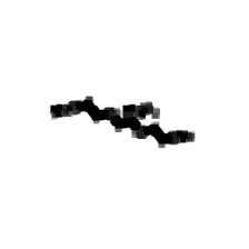 COCCOCCOCCOC.[MgH2]